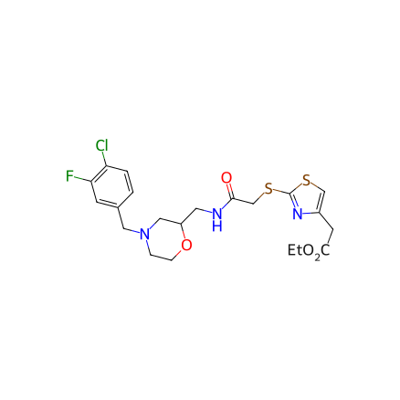 CCOC(=O)Cc1csc(SCC(=O)NCC2CN(Cc3ccc(Cl)c(F)c3)CCO2)n1